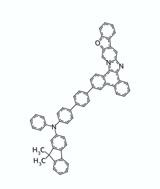 CC1(C)c2ccccc2-c2ccc(N(c3ccccc3)c3ccc(-c4ccc(-c5ccc6c(c5)c5ccccc5c5nc7cc8c(cn7c65)oc5ccccc58)cc4)cc3)cc21